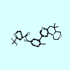 Cc1ccc(NC(=O)c2ccnc(C(C)(F)F)c2)cc1-c1cnc2c(c1)N1CCOCC1C(C)(C)C2